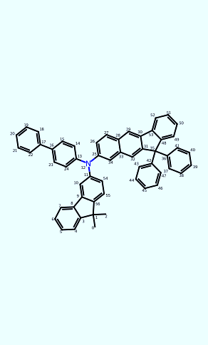 CC1(C)c2ccccc2-c2cc(N(c3ccc(-c4ccccc4)cc3)c3ccc4cc5c(cc4c3)C(c3ccccc3)(c3ccccc3)c3ccccc3-5)ccc21